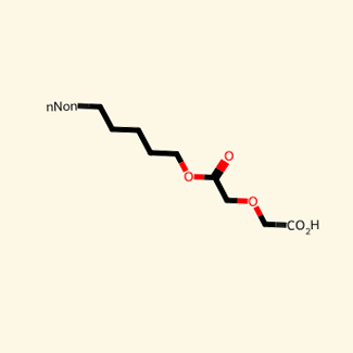 CCCCCCCCCCCCCCOC(=O)COCC(=O)O